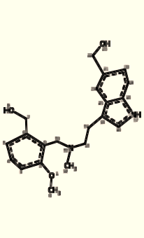 COc1cccc(CO)c1CN(C)CCc1c[nH]c2ccc(CO)cc12